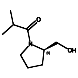 CC(C)C(=O)N1CCC[C@@H]1CO